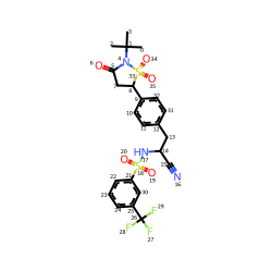 CC(C)(C)N1C(=O)CC(c2ccc(CC(C#N)NS(=O)(=O)c3cccc(C(F)(F)F)c3)cc2)S1(=O)=O